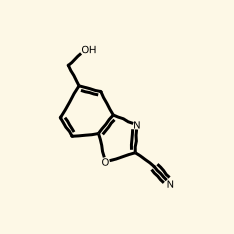 N#Cc1nc2cc(CO)ccc2o1